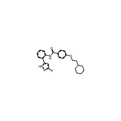 O=C(Nc1ccccc1-c1cc(F)n[nH]1)c1ccc(OCCN2CCCCC2)cc1